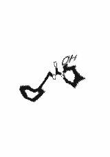 O=C(OCc1ccccc1)N1CCCCC1O